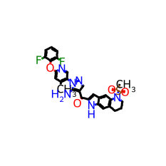 Cc1cc(Oc2c(F)cccc2F)ncc1-n1ncc(C(=O)c2cc3cc4c(cc3[nH]2)CCCN4S(C)(=O)=O)c1N